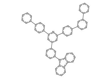 c1ccc(-c2ccc(-c3cc(-c4cccc(-n5c6ccccc6c6ccccc65)c4)cc(-c4ccc(-c5cccc(-c6ccccc6)c5)cc4)n3)cc2)cc1